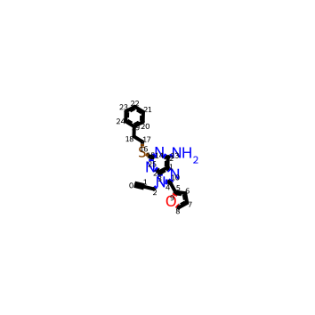 C#CCn1c(-c2ccco2)nc2c(N)nc(SCCc3ccccc3)nc21